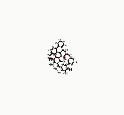 [2H]c1c([2H])c([2H])c2c(-c3cccc4ccccc34)c3c(-c4cccc5c6ccccc6c6ccc7ccccc7c6c45)c([2H])c([2H])c([2H])c3c([2H])c2c1[2H]